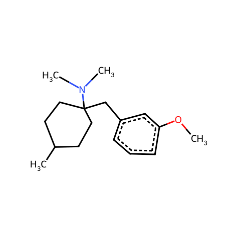 COc1cccc(CC2(N(C)C)CCC(C)CC2)c1